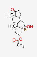 CC(=O)OC1CCC2(C)C3CCC4(C)C(=O)CCC4C3CC(O)C2(Br)C1